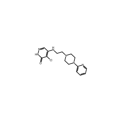 O=c1[nH]ncc(NCCN2CCN(c3ccccn3)CC2)c1Cl